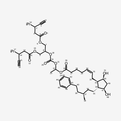 C#CC(CC(=O)OCC(COC(=O)CC(C#C)C(C)C)OC(=O)OC(C)OC(=O)CCC/C=C\C[C@@H]1[C@@H](CC[C@@H](C)CCc2ccccc2)[C@H](O)C[C@@H]1O)C(C)C